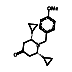 COc1ccc(CN2[C@@H](C3CC3)CC(=O)C[C@H]2C2CC2)cc1